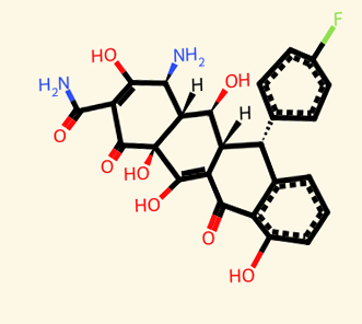 NC(=O)C1=C(O)[C@@H](N)[C@@H]2[C@@H](O)[C@H]3C(=C(O)[C@]2(O)C1=O)C(=O)c1c(O)cccc1[C@H]3c1ccc(F)cc1